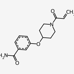 C=CC(=O)N1CCC(Oc2cccc(C(N)=O)c2)CC1